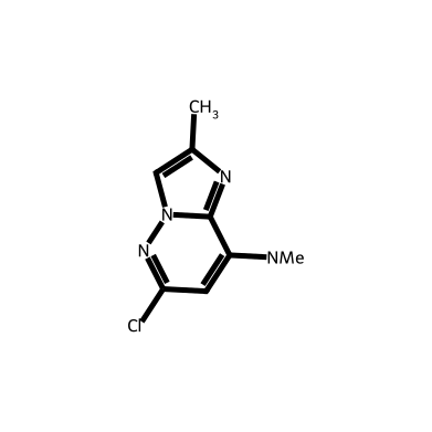 CNc1cc(Cl)nn2cc(C)nc12